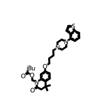 CCC(C)C(=O)OCN1C(=O)CC(C)(C)c2ccc(OCCCCN3CCN(c4cccc5sccc45)CC3)cc21